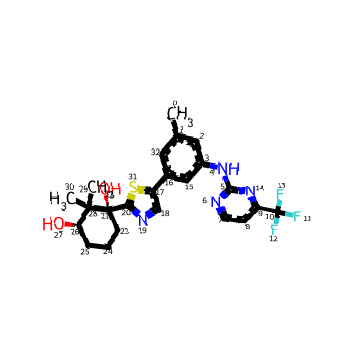 Cc1cc(Nc2nccc(C(F)(F)F)n2)cc(-c2cnc([C@]3(O)CCC[C@@H](O)C3(C)C)s2)c1